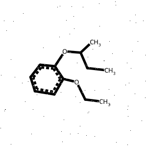 CCOc1ccc[c]c1OC(C)CC